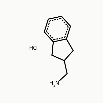 Cl.NCC1Cc2ccccc2C1